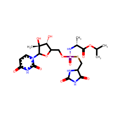 CC(C)OC(=O)[C@@H](C)N[P@](=O)(OCC1OC(n2ccc(=O)[nH]c2=O)[C@](C)(O)[C@@H]1O)SCC1NC(=O)NC1=O